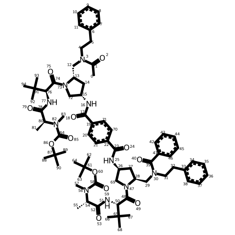 CC(=O)N(CCc1ccccc1)C[C@@H]1C[C@H](NC(=O)c2ccc(C(=O)N[C@H]3C[C@@H](CN(CCc4ccccc4)C(=O)c4ccccc4)N(C(=O)[C@@H](NC(=O)[C@H](C)N(C)C(=O)OC(C)(C)C)C(C)(C)C)C3)cc2)CN1C(=O)[C@@H](NC(=O)[C@H](C)N(C)C(=O)OC(C)(C)C)C(C)(C)C